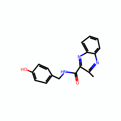 Cc1nc2ccccc2nc1C(=O)NCc1ccc(O)cc1